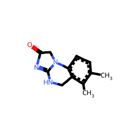 Cc1ccc2c(c1C)CNC1=NC(=O)CN12